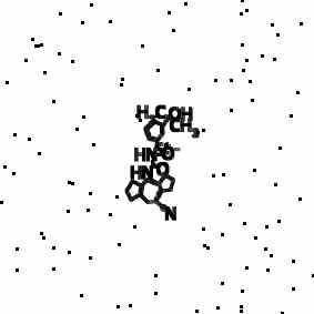 CC(C)(O)C1=CC([S@@+]([O-])NC(=O)NC2=C3CCCC3=C(C#N)CC3=C2CCC3)=C=C=C1